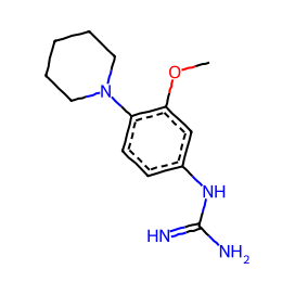 COc1cc(NC(=N)N)ccc1N1CCCCC1